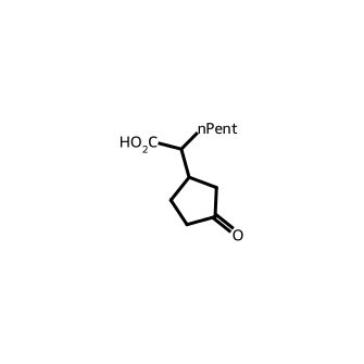 CCCCCC(C(=O)O)C1CCC(=O)C1